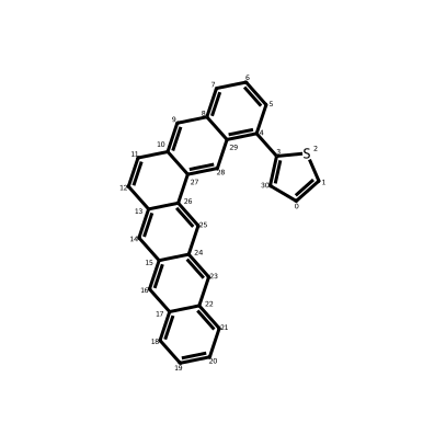 c1csc(-c2cccc3cc4ccc5cc6cc7ccccc7cc6cc5c4cc23)c1